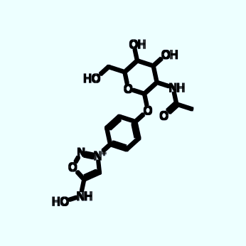 CC(=O)NC1C(Oc2ccc(-[n+]3cc(NO)on3)cc2)OC(CO)C(O)C1O